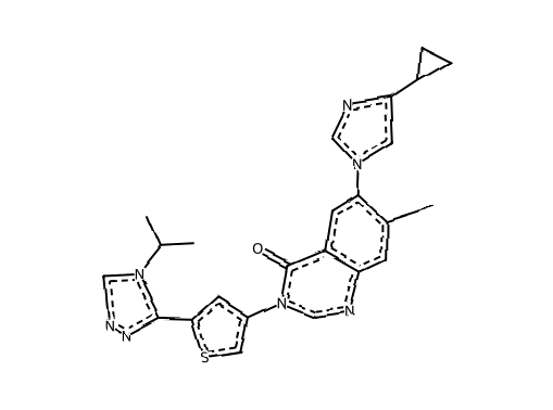 Cc1cc2ncn(-c3csc(-c4nncn4C(C)C)c3)c(=O)c2cc1-n1cnc(C2CC2)c1